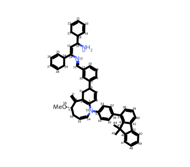 C=C1C2=C(C=CC(c3cccc(/C=N/C(=C\C(N)C4C=CC=CC4)C4C=CC=CC4)c3)C2)N(c2ccc(-c3cccc4c3C(C)(C)c3ccccc3-4)cc2)/C=C\C[C@@H]1OC